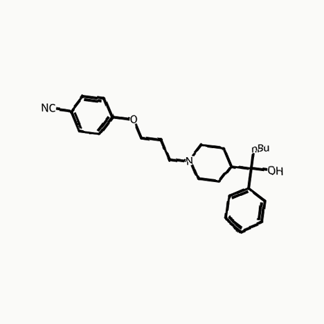 CCCCC(O)(c1ccccc1)C1CCN(CCCOc2ccc(C#N)cc2)CC1